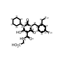 O=C(O)CNC(=O)c1c(O)n(C2CCCCC2)c(=O)n(Cc2ccc(F)cc2CF)c1=O